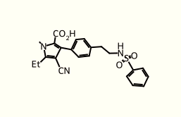 CCc1c(C#N)c(-c2ccc(CCNS(=O)(=O)c3ccccc3)cc2)c(C(=O)O)n1C